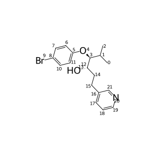 CC(C)[C@H](Oc1ccc(Br)cc1)[C@@H](O)CCc1cccnc1